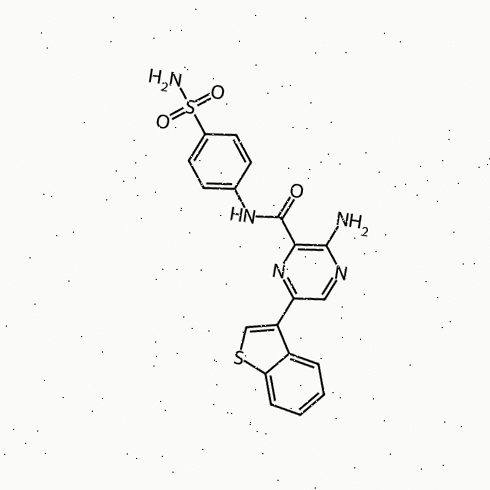 Nc1ncc(-c2csc3ccccc23)nc1C(=O)Nc1ccc(S(N)(=O)=O)cc1